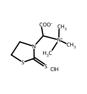 C[N+](C)(C)C(C(=O)[O-])N1CCSC1=S.Cl